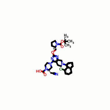 CC(C)(C)OC(=O)N1CCC[C@H]1COc1nc2c(c(N3CCN(C(=O)O)[C@@H](CC#N)C3)n1)CCN(c1cccc3cccc(Cl)c13)C2